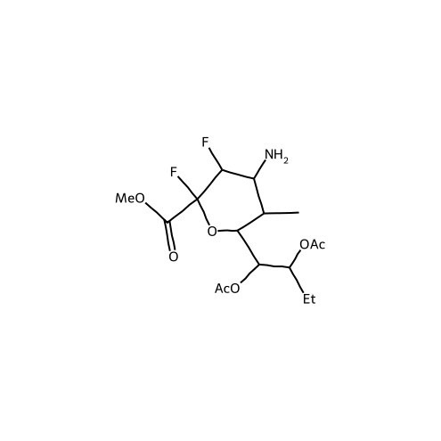 CCC(OC(C)=O)C(OC(C)=O)C1OC(F)(C(=O)OC)C(F)C(N)C1C